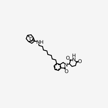 O=C1CCC(N2Cc3c(CCCCCCCCNC45CC6CC(CC4C6)C5)cccc3C2=O)C(=O)N1